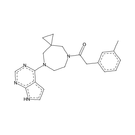 Cc1cccc(CC(=O)N2CCN(c3ncnc4[nH]ccc34)CC3(CC3)C2)c1